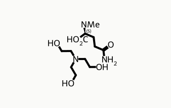 CN[C@@H](CCC(N)=O)C(=O)O.OCCN(CCO)CCO